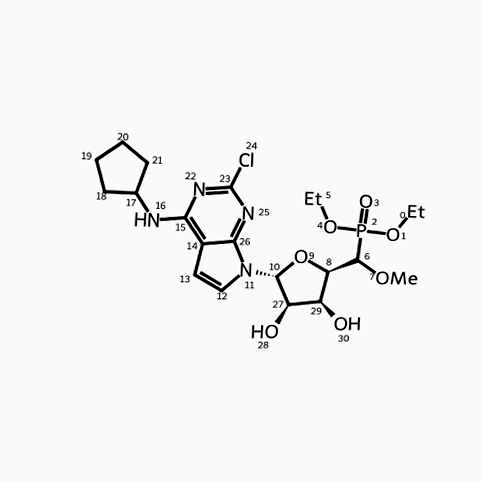 CCOP(=O)(OCC)C(OC)[C@@H]1O[C@@H](n2ccc3c(NC4CCCC4)nc(Cl)nc32)[C@H](O)[C@@H]1O